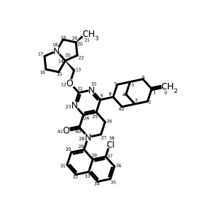 C=C1CC2CC(C1)CC(c1nc(OC[C@@]34CCCN3C[C@@H](C)C4)nc3c1CCN(c1cccc4cccc(Cl)c14)C3=O)C2